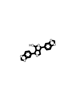 OC1OC(c2ccc3c(c2)OCO3)C2COC(c3ccc4c(c3)OCO4)C12